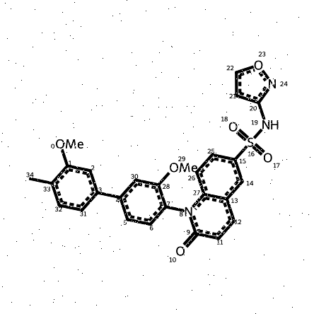 COc1cc(-c2ccc(-n3c(=O)ccc4cc(S(=O)(=O)Nc5ccon5)ccc43)c(OC)c2)ccc1C